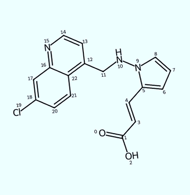 O=C(O)C=Cc1cccn1NCc1ccnc2cc(Cl)ccc12